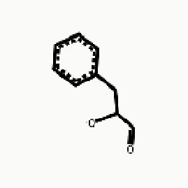 [O]C(C=O)Cc1ccccc1